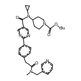 CN(Cc1cccnc1)C(=O)Cc1ccc(-c2ncc(C(=O)N(C3CC3)C3CCN(C(=O)OC(C)(C)C)CC3)cn2)cc1